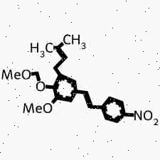 COCOc1c(CC=C(C)C)cc(C=Cc2ccc([N+](=O)[O-])cc2)cc1OC